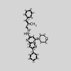 CC(/C=N/Nc1cc(N2CCOCC2)n2nc(-c3ccccc3)cc2n1)=C\c1ccccc1